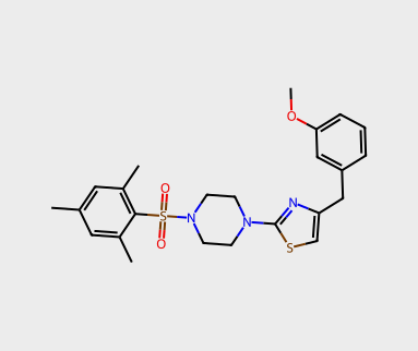 COc1cccc(Cc2csc(N3CCN(S(=O)(=O)c4c(C)cc(C)cc4C)CC3)n2)c1